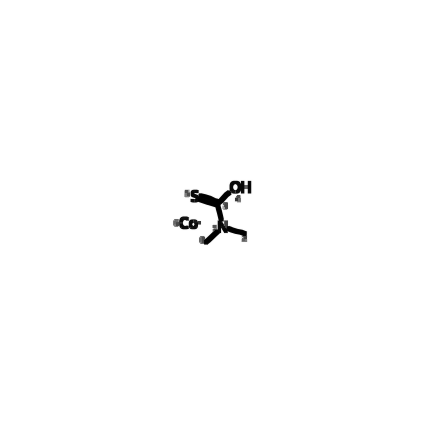 CN(C)C(O)=S.[Co]